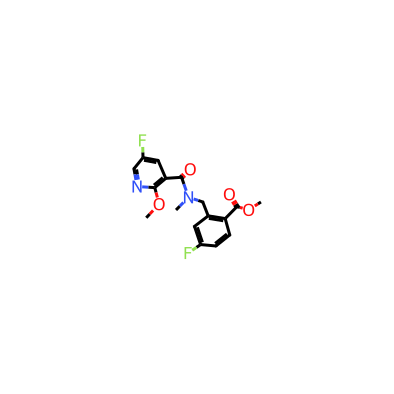 COC(=O)c1ccc(F)cc1CN(C)C(=O)c1cc(F)cnc1OC